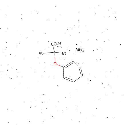 CCC(CC)(Oc1ccccc1)C(=O)O.[AlH3]